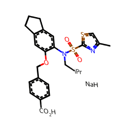 Cc1csc(S(=O)(=O)N(CC(C)C)c2cc3c(cc2OCc2ccc(C(=O)O)cc2)CCC3)n1.[NaH]